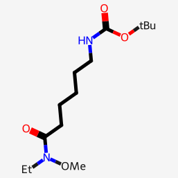 CCN(OC)C(=O)CCCCCNC(=O)OC(C)(C)C